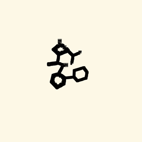 O=C(Nc1ccccc1C1CCCCC1)c1c[nH]nc1C(F)F